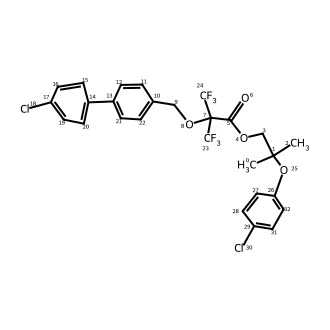 CC(C)(COC(=O)C(OCc1ccc(-c2ccc(Cl)cc2)cc1)(C(F)(F)F)C(F)(F)F)Oc1ccc(Cl)cc1